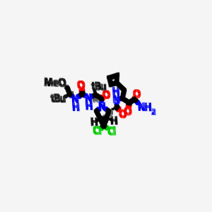 COC[C@@H](NC(=O)N[C@H](C(=O)N1C[C@H]2[C@@H]([C@H]1C(=O)NC(CC1CCC1)C(=O)C(N)=O)C2(Cl)Cl)C(C)(C)C)C(C)(C)C